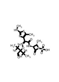 [2H]C([2H])(C)C(C=O)(O/N=C(\C(=O)N[C@@H]1C(=O)N(S(=O)(=O)O)[C@H]1C)c1nc(NC)sc1C)C([2H])([2H])C